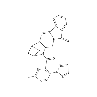 Cc1ccc(-n2nccn2)c(C(=O)N2C3CC(C3)C(C)C2CN2C(=O)c3ccccc3C2=O)n1